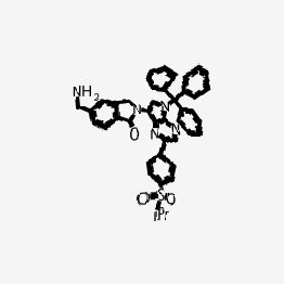 CC(C)S(=O)(=O)c1ccc(-c2cnc3c(n2)c(N2Cc4cc(CN)ccc4C2=O)cn3C(c2ccccc2)(c2ccccc2)c2ccccc2)cc1